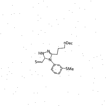 CCCCCCCCCCCCCC1=NNC(C=S)N1c1cccc(SC)c1